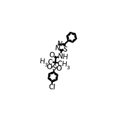 CC(C)(C(=O)Nc1nnc(-c2ccccc2)s1)S(=O)(=O)c1ccc(Cl)cc1